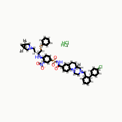 Cl.Cl.O=C(NS(=O)(=O)c1ccc(N[C@H](CCN2C[C@H]3C[C@H]3C2)CSc2ccccc2)c([N+](=O)[O-])c1)c1ccc2c(c1)CC[C@@H]1CN(Cc3ccccc3-c3ccc(Cl)cc3)CCN21